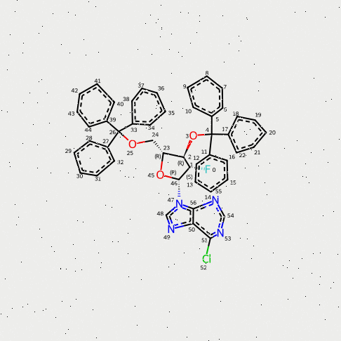 F[C@H]1[C@H](OC(c2ccccc2)(c2ccccc2)c2ccccc2)[C@@H](COC(c2ccccc2)(c2ccccc2)c2ccccc2)O[C@H]1n1cnc2c(Cl)ncnc21